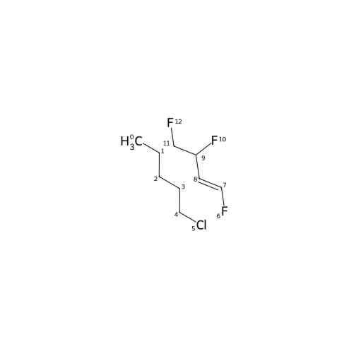 CCCCCCl.FC=CC(F)CF